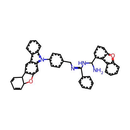 NC(N/C(=N\Cc1ccc(-n2c3ccccc3c3cc4c(cc32)OC2C=CC=CC42)cc1)c1ccccc1)c1cccc2oc3ccccc3c12